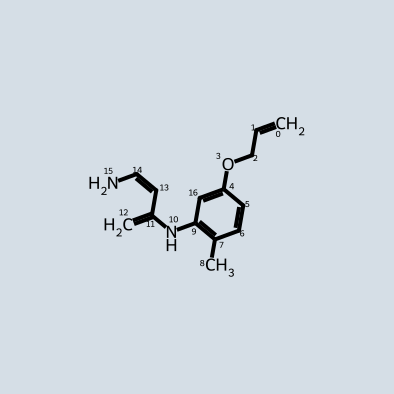 C=CCOc1ccc(C)c(NC(=C)/C=C\N)c1